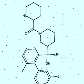 [CH2]CCC(O)(c1cccc(F)c1-c1cccc(CC)c1)C1CCCN(C(=O)C2CCCCN2)C1